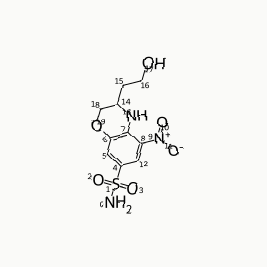 NS(=O)(=O)c1cc2c(c([N+](=O)[O-])c1)NC(CCO)CO2